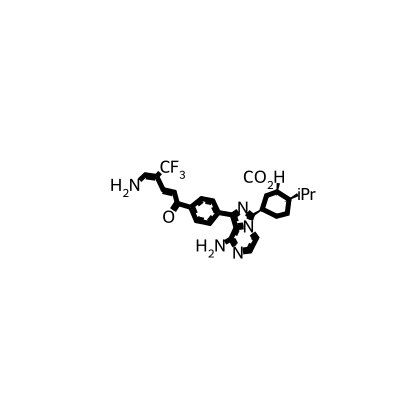 CC(C)[C@H]1CC[C@@H](c2nc(-c3ccc(C(=O)C=C/C(=C\N)C(F)(F)F)cc3)c3c(N)nccn23)C[C@H]1C(=O)O